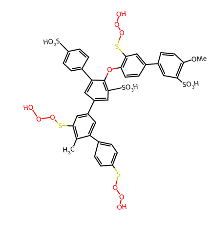 COc1ccc(-c2ccc(Oc3c(-c4ccc(S(=O)(=O)O)cc4)cc(-c4cc(SOOO)c(C)c(-c5ccc(SOOO)cc5)c4)cc3S(=O)(=O)O)c(SOOO)c2)cc1S(=O)(=O)O